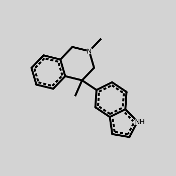 CN1Cc2ccccc2C(C)(c2ccc3[nH]ccc3c2)C1